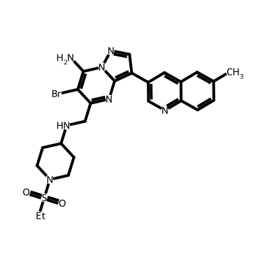 CCS(=O)(=O)N1CCC(NCc2nc3c(-c4cnc5ccc(C)cc5c4)cnn3c(N)c2Br)CC1